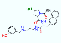 CC(C)(C)C(=O)N1CCCC1C(=O)N[C@H](Cc1ccc2ccccc2c1)C(=O)NCCCNCc1cccc(O)c1.Cl